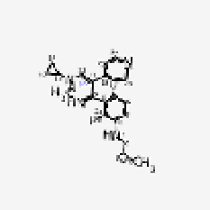 COCNc1cccc(C(=N)/C(=C\N(C)C2CC2)c2ccncc2)c1F